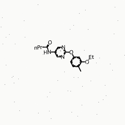 CCCC(=O)Nc1cnc(Oc2ccc(C)c(OCC)c2)nc1